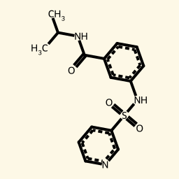 CC(C)NC(=O)c1cccc(NS(=O)(=O)c2cccnc2)c1